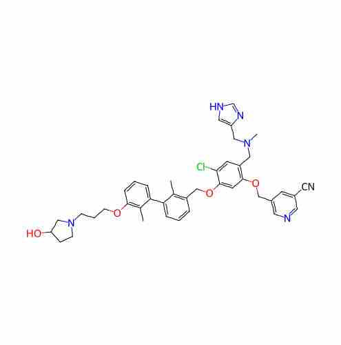 Cc1c(COc2cc(OCc3cncc(C#N)c3)c(CN(C)Cc3c[nH]cn3)cc2Cl)cccc1-c1cccc(OCCCN2CCC(O)C2)c1C